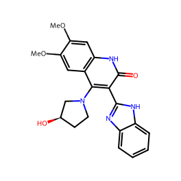 COc1cc2[nH]c(=O)c(-c3nc4ccccc4[nH]3)c(N3CC[C@@H](O)C3)c2cc1OC